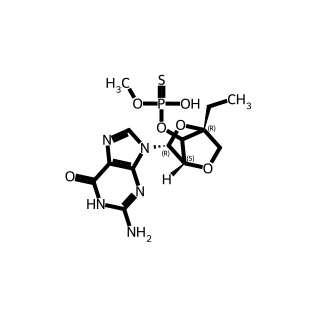 CC[C@@]12CO[C@@H](C1OP(O)(=S)OC)[C@H](n1cnc3c(=O)[nH]c(N)nc31)O2